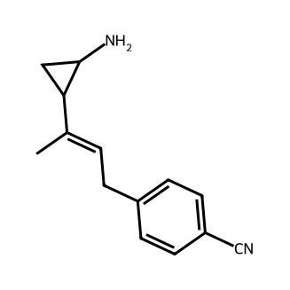 C/C(=C\Cc1ccc(C#N)cc1)C1CC1N